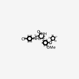 COc1ccc([C@H]2CNC(=O)[C@H](CNc3ccc(Cl)cc3)C2)cc1OC1CCCC1